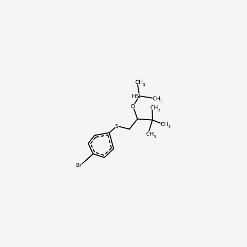 C[SiH](C)OC(CSc1ccc(Br)cc1)C(C)(C)C